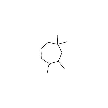 CC1CC(C)(C)CCCN1C